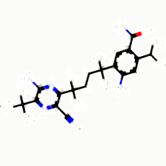 CC(C)c1cc(N)c(C(C)(C)CCC(C)(C)c2nc(N)c(C(C)(C)C)nc2C#N)cc1C(N)=O